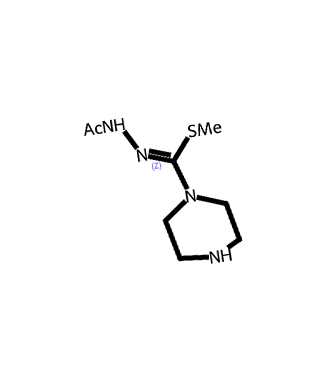 CS/C(=N\NC(C)=O)N1CCNCC1